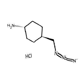 Cl.[N-]=[N+]=NC[C@H]1CC[C@H](N)CC1